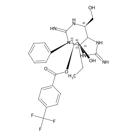 CC[C@]1(O)[C@@H](OC(=O)c2ccc(C(F)(F)F)cc2)[C@H](c2ccccc2)N2C(=N)N[C@@H](CO)C3NC(=N)N[C@@]321